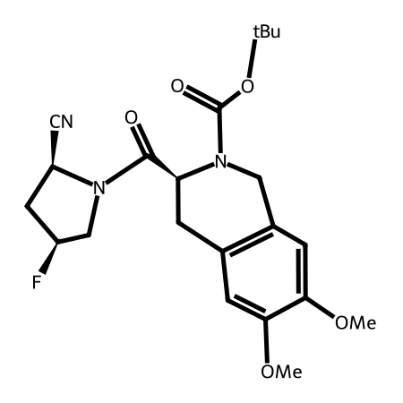 COc1cc2c(cc1OC)CN(C(=O)OC(C)(C)C)[C@H](C(=O)N1C[C@@H](F)C[C@H]1C#N)C2